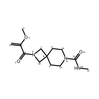 C=C(OC)C(=O)N1CC2(CCN(C(=O)NC)CC2)C1